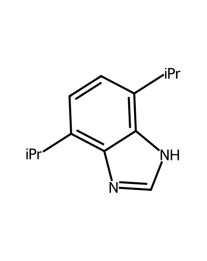 CC(C)c1ccc(C(C)C)c2[nH]cnc12